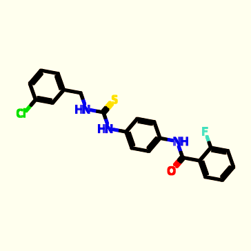 O=C(Nc1ccc(NC(=S)NCc2cccc(Cl)c2)cc1)c1ccccc1F